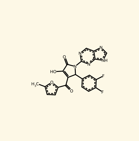 Cc1ccc(C(=O)C2=C(O)C(=O)N(c3ncc4nc[nH]c4n3)C2c2ccc(F)c(F)c2)o1